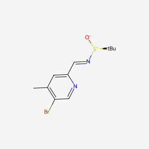 Cc1cc(/C=N/[S@@+]([O-])C(C)(C)C)ncc1Br